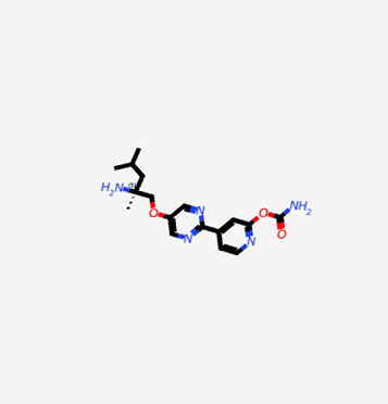 CC(C)C[C@](C)(N)COc1cnc(-c2ccnc(OC(N)=O)c2)nc1